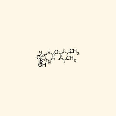 C=C/C=C(\C=C/C)Oc1ccc2c(c1)COB2O